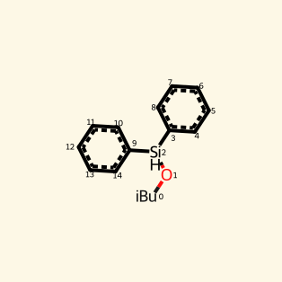 CCC(C)O[SiH](c1ccccc1)c1ccccc1